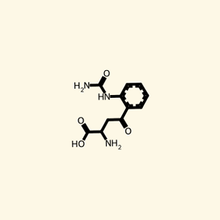 NC(=O)Nc1ccccc1C(=O)CC(N)C(=O)O